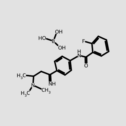 CC(CC(=N)c1ccc(NC(=O)c2ccccc2F)cc1)N(C)C.OB(O)O